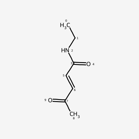 CCNC(=O)C=CC(C)=O